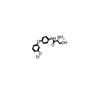 CCOc1cccc(Oc2ccc(NC(=O)[C@@H](N)CO)cc2)c1